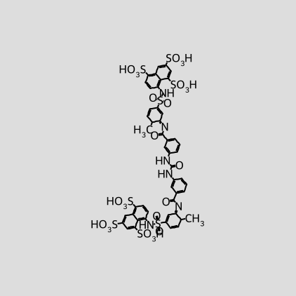 CC1C=CC(S(=O)(=O)Nc2ccc(S(=O)(=O)O)c3cc(S(=O)(=O)O)cc(S(=O)(=O)O)c23)=CC1=NC(=O)c1cccc(NC(=O)Nc2cccc(C(=O)N=C3C=C(S(=O)(=O)Nc4ccc(S(=O)(=O)O)c5cc(S(=O)(=O)O)cc(S(=O)(=O)O)c45)C=CC3C)c2)c1